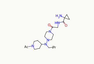 CC(=O)N1CCC(N(CC(C)C)N2CCN(C(=O)CNC(=O)C3(N)CC3)CC2)CC1